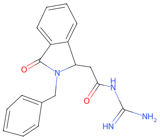 N=C(N)NC(=O)CC1c2ccccc2C(=O)N1Cc1ccccc1